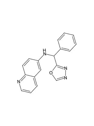 c1ccc(C(Nc2ccc3ncccc3c2)c2nnco2)cc1